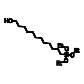 CCO[Si](CCCCCCCCCCCCO)(OCC)OCC